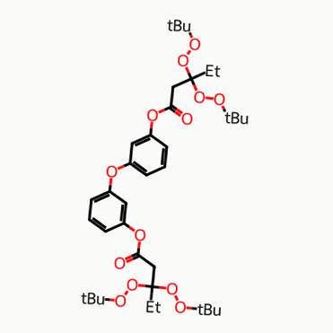 CCC(CC(=O)Oc1cccc(Oc2cccc(OC(=O)CC(CC)(OOC(C)(C)C)OOC(C)(C)C)c2)c1)(OOC(C)(C)C)OOC(C)(C)C